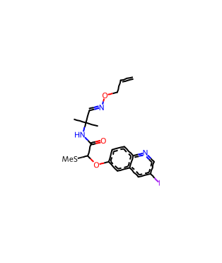 C=CCON=CC(C)(C)NC(=O)C(Oc1ccc2ncc(I)cc2c1)SC